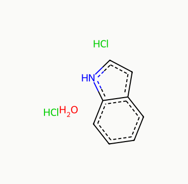 Cl.Cl.O.c1ccc2[nH]ccc2c1